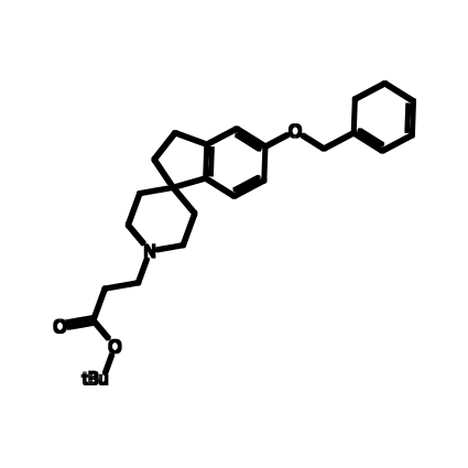 CC(C)(C)OC(=O)CCN1CCC2(CCc3cc(OCC4=CC=CCC4)ccc32)CC1